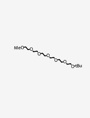 COCCOCCOCCOCCOCCOCCOC(C)(C)C